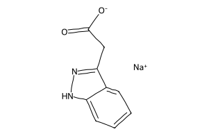 O=C([O-])Cc1n[nH]c2ccccc12.[Na+]